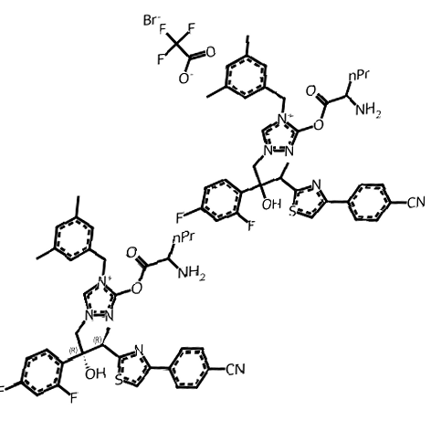 CCCC(N)C(=O)Oc1nn(CC(O)(c2ccc(F)cc2F)C(C)c2nc(-c3ccc(C#N)cc3)cs2)c[n+]1Cc1cc(C)cc(C)c1.CCCC(N)C(=O)Oc1nn(C[C@](O)(c2ccc(F)cc2F)[C@@H](C)c2nc(-c3ccc(C#N)cc3)cs2)c[n+]1Cc1cc(C)cc(C)c1.O=C([O-])C(F)(F)F.[Br-]